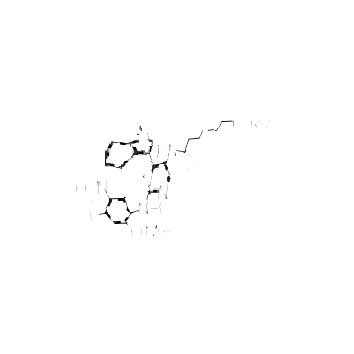 CCCCCCCCCCCCCCCC(=O)Nc1cnc(Nc2cc([N+](=O)[O-])c(F)cc2OC)nc1-c1cn(C)c2ccccc12